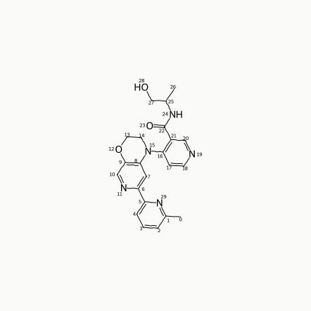 Cc1cccc(-c2cc3c(cn2)OCCN3c2ccncc2C(=O)NC(C)CO)n1